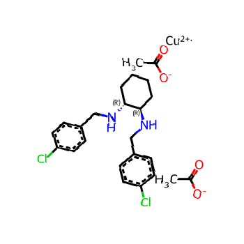 CC(=O)[O-].CC(=O)[O-].Clc1ccc(CN[C@@H]2CCCC[C@H]2NCc2ccc(Cl)cc2)cc1.[Cu+2]